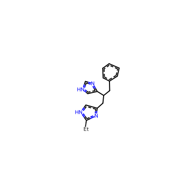 [CH2]Cc1nc(CC(Cc2ccccc2)c2c[nH]cn2)c[nH]1